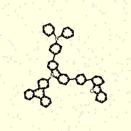 c1ccc(N(c2ccccc2)c2ccc(-c3ccc4c(c3)c3cc(-c5ccc(-c6cccc7c6oc6ccccc67)cc5)ccc3n4-c3ccc4c5ccccc5c5ccccc5c4c3)cc2)cc1